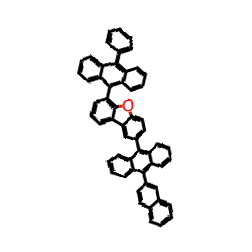 c1ccc(-c2c3ccccc3c(-c3cccc4c3oc3ccc(-c5c6ccccc6c(-c6ccc7ccccc7c6)c6ccccc56)cc34)c3ccccc23)cc1